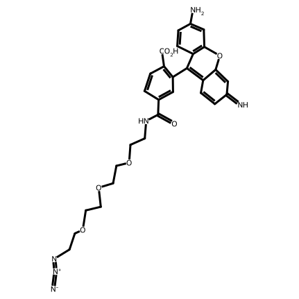 [N-]=[N+]=NCCOCCOCCOCCNC(=O)c1ccc(C(=O)O)c(-c2c3ccc(=N)cc-3oc3cc(N)ccc23)c1